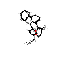 Cc1cccnc1C1CCCC(c2ncccc2C)N1Cc1ccc(CN)cc1